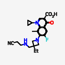 CCC1(CNCCC#N)CN(c2c(F)cc3c(=O)c(C(=O)O)cn(C4CC4)c3c2C)C1